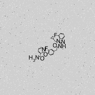 NC(=O)c1cccnc1Oc1ccc(CC(=O)Nc2nc3cccc(F)c3n2CC2CC2)cc1F